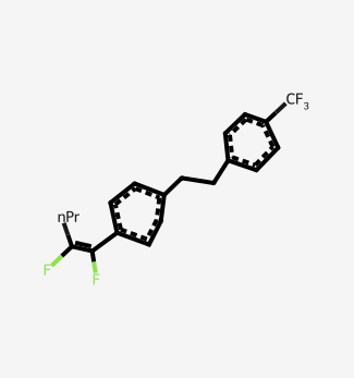 CCC/C(F)=C(/F)c1ccc(CCc2ccc(C(F)(F)F)cc2)cc1